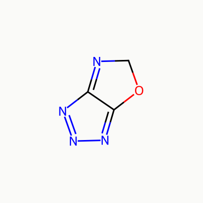 C1N=C2N=NN=C2O1